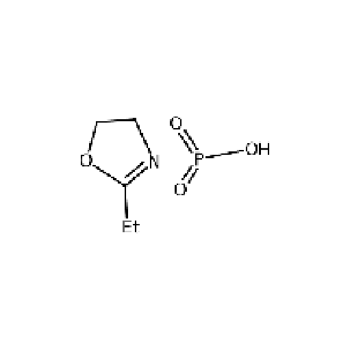 CCC1=NCCO1.O=P(=O)O